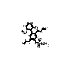 C=CCc1cc2c(cc1CS(N)(=O)=O)C(CC=C)Oc1cccc(OC)c1-2